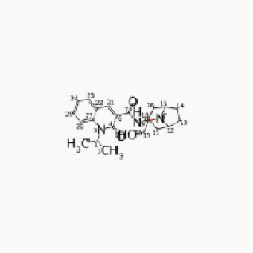 CC(C)n1c(=O)c(C(=O)NC2CC3CCC(C2)N3CCO)cc2ccccc21